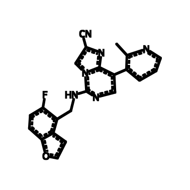 Cc1ncccc1-c1cnc(NCc2c(F)ccc3occc23)n2cc(C#N)nc12